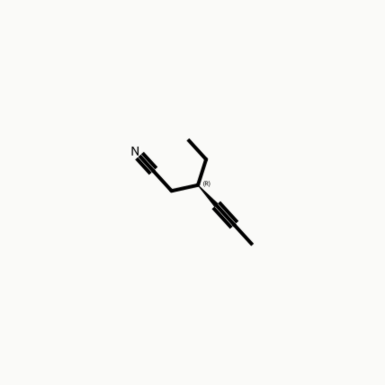 CC#C[C@H](CC)CC#N